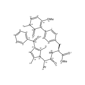 COC(=O)[C@H](Cc1ccc(-c2c(OC)cnn(C)c2=O)cc1)NC(=O)C(C(C)C)n1c(C)cc(C(=O)c2ccccc2)c1C